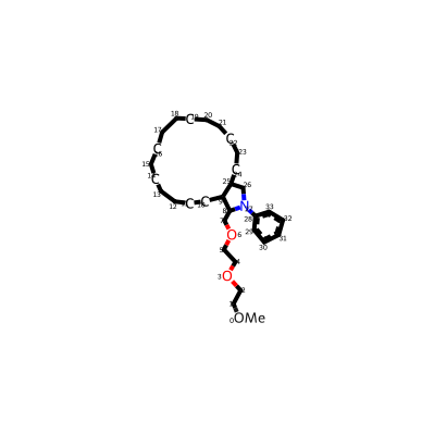 COCCOCCOCC1C2CCCCCCCCCCCCCCCC2CN1c1ccccc1